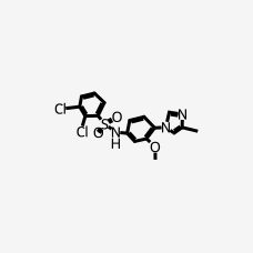 COc1cc(NS(=O)(=O)c2cccc(Cl)c2Cl)ccc1-n1cnc(C)c1